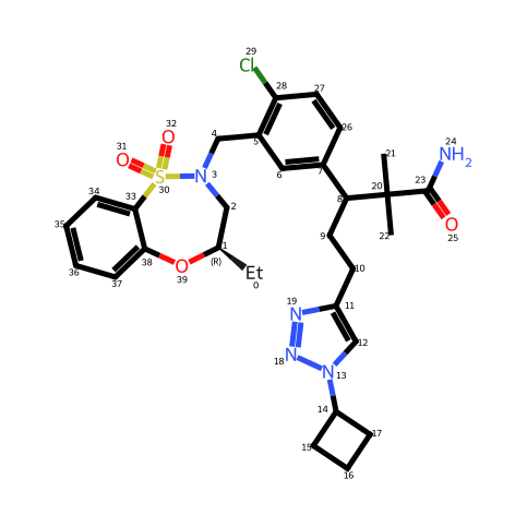 CC[C@@H]1CN(Cc2cc(C(CCc3cn(C4CCC4)nn3)C(C)(C)C(N)=O)ccc2Cl)S(=O)(=O)c2ccccc2O1